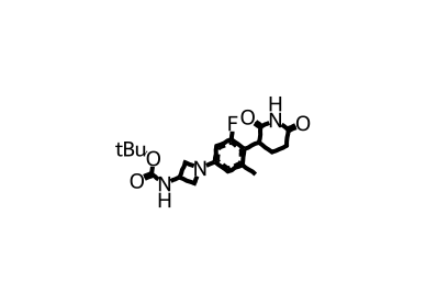 Cc1cc(N2CC(NC(=O)OC(C)(C)C)C2)cc(F)c1C1CCC(=O)NC1=O